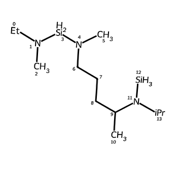 CCN(C)[SiH2]N(C)CCCC(C)N([SiH3])C(C)C